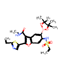 CCc1ncc(-c2oc3cc(NS(=O)(=O)CC)c(B4OC(C)(C)C(C)(C)O4)cc3c2C(=O)NC)s1